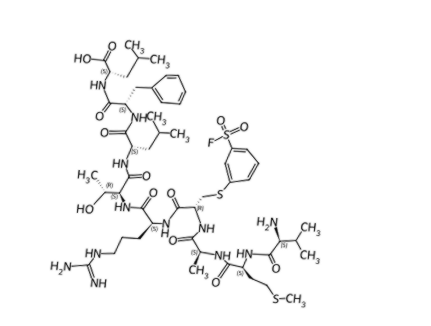 CSCC[C@H](NC(=O)[C@@H](N)C(C)C)C(=O)N[C@@H](C)C(=O)N[C@@H](CSc1cccc(S(=O)(=O)F)c1)C(=O)N[C@@H](CCCNC(=N)N)C(=O)N[C@H](C(=O)N[C@@H](CC(C)C)C(=O)N[C@@H](Cc1ccccc1)C(=O)N[C@@H](CC(C)C)C(=O)O)[C@@H](C)O